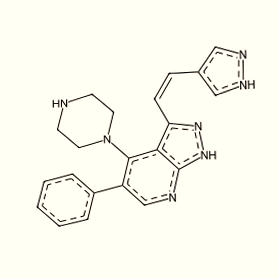 C(=C/c1n[nH]c2ncc(-c3ccccc3)c(N3CCNCC3)c12)/c1cn[nH]c1